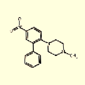 CN1CCN(c2ccc([N+](=O)[O-])cc2-c2ccccc2)CC1